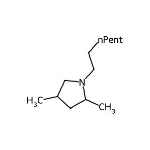 CCCCCCCN1CC(C)CC1C